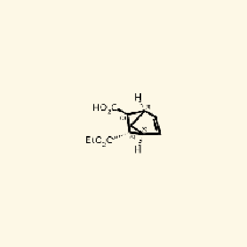 CCOC(=O)[C@@H]1[C@@H](C(=O)O)[C@H]2C=C[C@@H]1C2